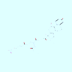 CC(=O)NC(CSC(=O)CCCO[N+](=O)[O-])C(=O)OCC(=O)[C@@]1(O)[C@H](C)CC2C3CCC4=CC(=O)C=C[C@]4(C)[C@@]3(F)[C@@H](O)C[C@@]21C